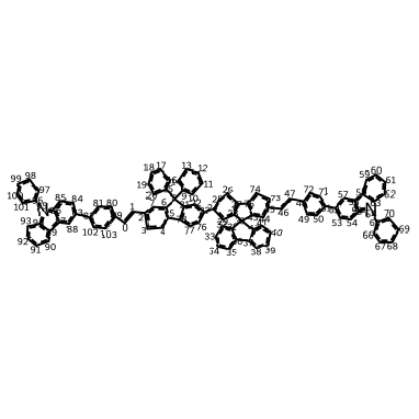 C(=C\c1ccc2c(c1)C(c1ccccc1)(c1ccccc1)c1cc(-c3ccc4c(c3)C3(c5ccccc5-c5ccccc53)c3cc(/C=C/c5ccc(-c6ccc7c(c6)c6ccccc6n7-c6ccccc6)cc5)ccc3-4)ccc1-2)/c1ccc(-c2ccc3c(c2)c2ccccc2n3-c2ccccc2)cc1